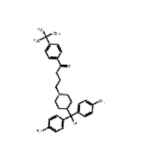 Cc1ccc(C(O)(c2ccc(C)cc2)C2CCN(CCCC(=O)c3ccc(C(C)(C)C(=O)O)cc3)CC2)cc1